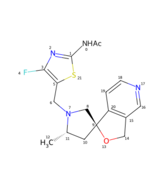 CC(=O)Nc1nc(F)c(CN2C[C@]3(C[C@@H]2C)OCc2cnccc23)s1